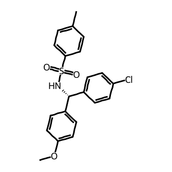 COc1ccc([C@H](NS(=O)(=O)c2ccc(C)cc2)c2ccc(Cl)cc2)cc1